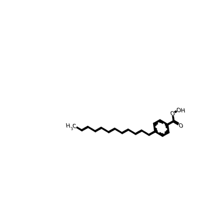 CCCCCCCCCCCCc1ccc(C(=O)OO)cc1